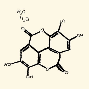 O.O.O=c1oc2c(O)c(O)cc3c(=O)oc4c(O)c(O)cc1c4c23